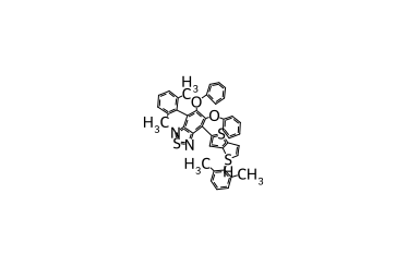 Cc1cccc(C)c1-c1c(Oc2ccccc2)c(Oc2ccccc2)c(-c2cc3c(s2)C=C[SH]3c2c(C)cccc2C)c2nsnc12